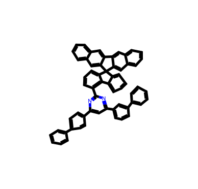 c1ccc(-c2ccc(-c3cc(-c4cccc(-c5ccccc5)c4)nc(-c4cccc5c4-c4ccccc4C54c5cc6ccccc6cc5-c5cc6ccccc6cc54)n3)cc2)cc1